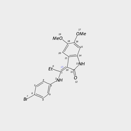 CC/C(Nc1ccc(Br)cc1)=C1/C(=O)Nc2cc(OC)c(OC)cc21